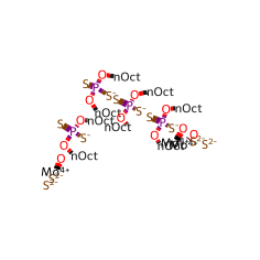 CCCCCCCCOP(=S)([S-])OCCCCCCCC.CCCCCCCCOP(=S)([S-])OCCCCCCCC.CCCCCCCCOP(=S)([S-])OCCCCCCCC.CCCCCCCCOP(=S)([S-])OCCCCCCCC.[O]=[Mo+4].[O]=[Mo+4].[O]=[Mo+4].[S-2].[S-2].[S-2].[S-2]